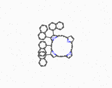 C1=Cc2cc3[nH]c(c(-c4cccc5ccccc45)c4nc(cc5ccc(cc1n2)[nH]5)C=C4c1cccc2ccccc12)c(-c1cccc2ccccc12)c3-c1cccc2ccccc12